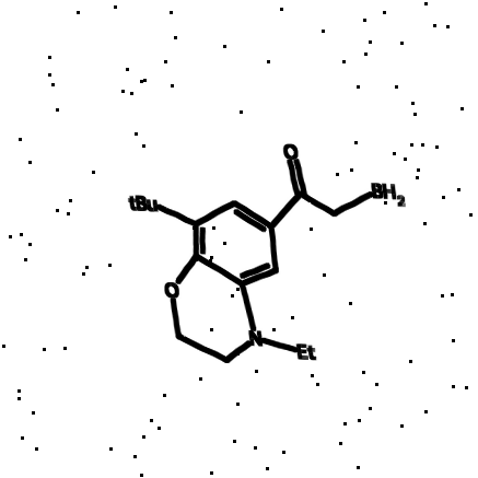 BCC(=O)c1cc2c(c(C(C)(C)C)c1)OCCN2CC